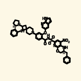 CC(C)c1ccccc1[C@@H]1CCCN1C1CC2(CCN(c3ccc(C(=O)NS(=O)(=O)c4cc([N+](=O)[O-])c5c(n4)OC[C@H](Cc4ccccc4)N5)c(Oc4cnc5[nH]ccc5c4)c3)CC2)C1